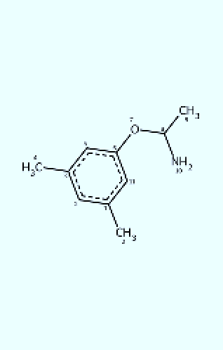 Cc1cc(C)cc(OC(C)N)c1